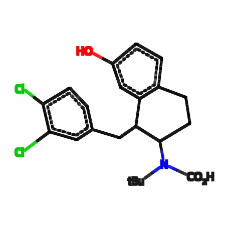 CC(C)(C)N(C(=O)O)C1CCc2ccc(O)cc2C1Cc1ccc(Cl)c(Cl)c1